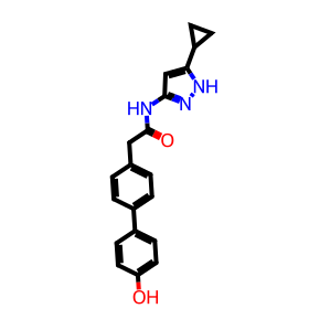 O=C(Cc1ccc(-c2ccc(O)cc2)cc1)Nc1cc(C2CC2)[nH]n1